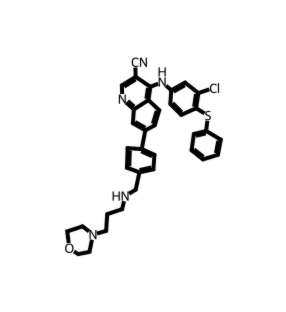 N#Cc1cnc2cc(-c3ccc(CNCCCN4CCOCC4)cc3)ccc2c1Nc1ccc(Sc2ccccc2)c(Cl)c1